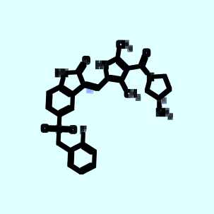 Cc1[nH]c(/C=C2\C(=O)Nc3ccc(S(=O)(=O)Cc4ccccc4F)cc32)c(C)c1C(=O)N1CC[C@@H](N)C1